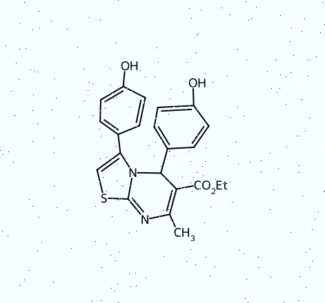 CCOC(=O)C1=C(C)N=C2SC=C(c3ccc(O)cc3)N2C1c1ccc(O)cc1